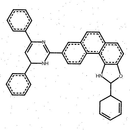 C1=CCC(C2Nc3c(ccc4ccc5cc(C6=NC(c7ccccc7)=CC(c7ccccc7)N6)ccc5c34)O2)C=C1